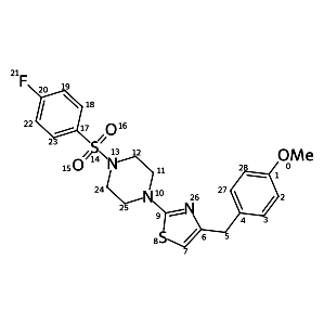 COc1ccc(Cc2csc(N3CCN(S(=O)(=O)c4ccc(F)cc4)CC3)n2)cc1